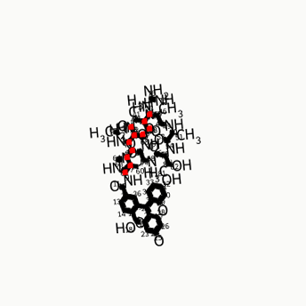 CC(=O)N[C@H](CCCCNC(=O)c1ccc(C(=O)O)c(-c2c3ccc(=O)cc-3oc3cc(O)ccc23)c1)C(=O)N[C@H](C)C(=O)N[C@H](C)C(=O)N[C@H](C)C(=O)N[C@@H](C(=O)N[C@H](Cc1c[nH]cn1)C(=O)N[C@H](CCCNC(=N)N)C(N)=O)[C@H](C)O